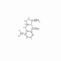 COc1cccc(N(C)C)c1CN1CC[C@@H](N)C1